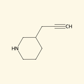 C#CCC1CCCNC1